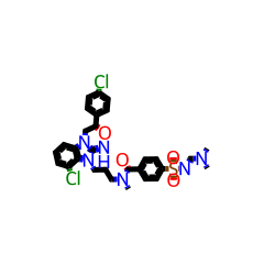 CN(C)/C=N/S(=O)(=O)c1ccc(C(=O)N(C)CCCn2c(=N)n(CC(=O)c3ccc(Cl)cc3)c3cccc(Cl)c32)cc1